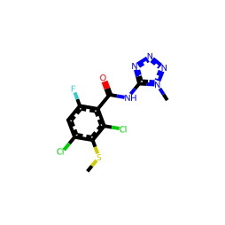 CSc1c(Cl)cc(F)c(C(=O)Nc2nnnn2C)c1Cl